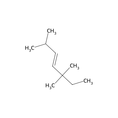 CCC(C)(C)C=CC(C)C